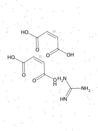 N=C(N)N.O=C(O)/C=C\C(=O)O.O=C(O)/C=C\C(=O)O